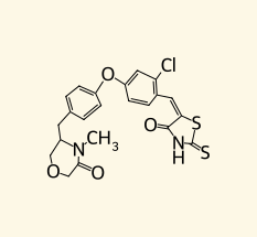 CN1C(=O)COCC1Cc1ccc(Oc2ccc(C=C3SC(=S)NC3=O)c(Cl)c2)cc1